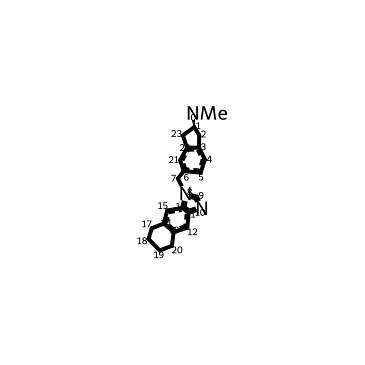 CN[C@H]1Cc2ccc(Cn3cnc4cc5c(cc43)CCCC5)cc2C1